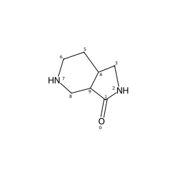 O=C1NCC2CCNCC12